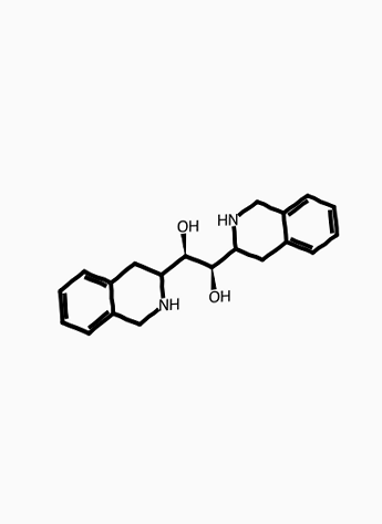 O[C@H](C1Cc2ccccc2CN1)[C@H](O)C1Cc2ccccc2CN1